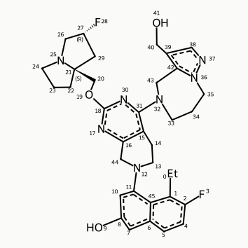 CCc1c(F)ccc2cc(O)cc(N3CCc4c(nc(OC[C@@]56CCCN5C[C@H](F)C6)nc4N4CCCn5ncc(CO)c5C4)C3)c12